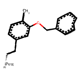 CCC[C@@H](C)CCc1ccc(C)c(OCc2ccccc2)c1